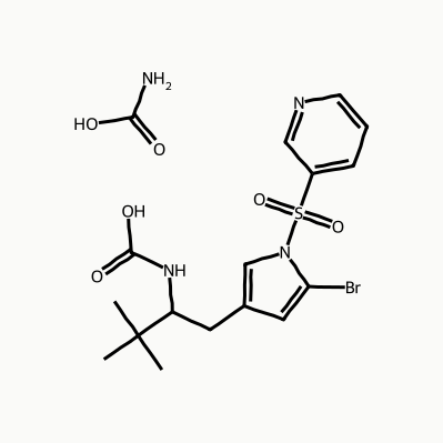 CC(C)(C)C(Cc1cc(Br)n(S(=O)(=O)c2cccnc2)c1)NC(=O)O.NC(=O)O